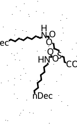 CCCCCCCCCCCCCCCCCCNC(=O)OCC(CSCCC(=O)O)OC(=O)NCCCCCCCCCCCCCCCCCC